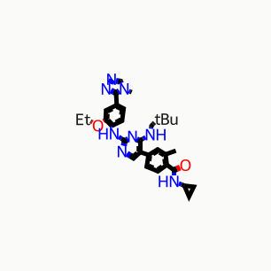 CCOc1cc(-c2nncn2C)ccc1Nc1ncc(-c2ccc(C(=O)NC3CC3)c(C)c2)c(NCC(C)(C)C)n1